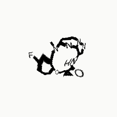 CN1CC2=CC(F)=CCC=C2OCC2(CC2)C(=O)Nc2cnn3ccc1nc23